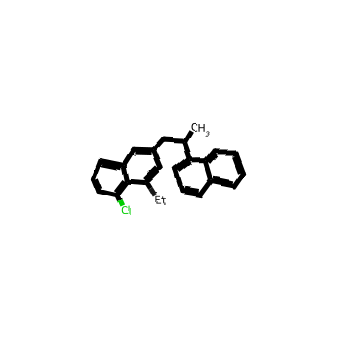 CCc1cc(CC(C)c2cccc3ccccc23)cc2cccc(Cl)c12